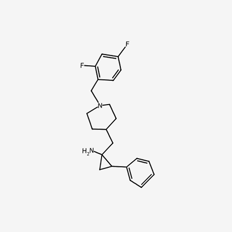 NC1(CC2CCN(Cc3ccc(F)cc3F)CC2)CC1c1ccccc1